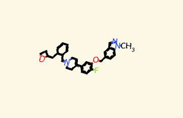 Cn1ncc2cc(COc3cc(C4=CCN(CC5C=CC=CC5CC5CCO5)CC4)ccc3F)ccc21